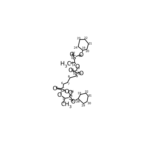 CC(OS(=O)(=O)CCCCS(=O)(=O)OC(C)S(=O)OC1CCCCC1)S(=O)OC1CCCCC1